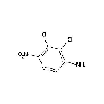 Nc1ccc([N+](=O)[O-])c(Cl)c1Cl